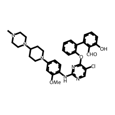 COc1cc(N2CCC(N3CCN(C)CC3)CC2)ccc1Nc1ncc(Cl)c(Oc2ccccc2-c2cccc(O)c2C=O)n1